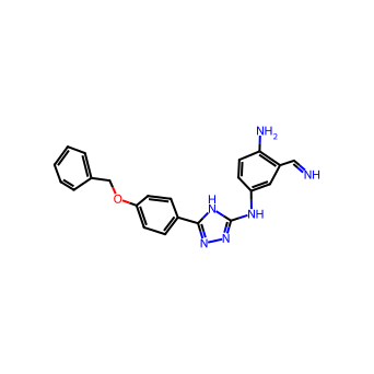 N=Cc1cc(Nc2nnc(-c3ccc(OCc4ccccc4)cc3)[nH]2)ccc1N